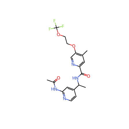 CC(=O)Nc1cc(C(C)NC(=O)c2cc(C)c(OCCOC(F)(F)F)cn2)ccn1